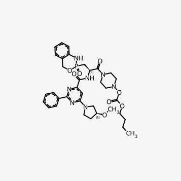 CCCCOC(=O)ON1CCN(C(=O)[C@H](CP2(=O)Nc3ccccc3CO2)NC(=O)c2cc(N3CC[C@H](OC)C3)nc(-c3ccccc3)n2)CC1